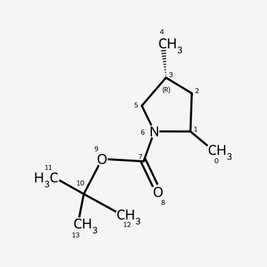 CC1C[C@@H](C)CN1C(=O)OC(C)(C)C